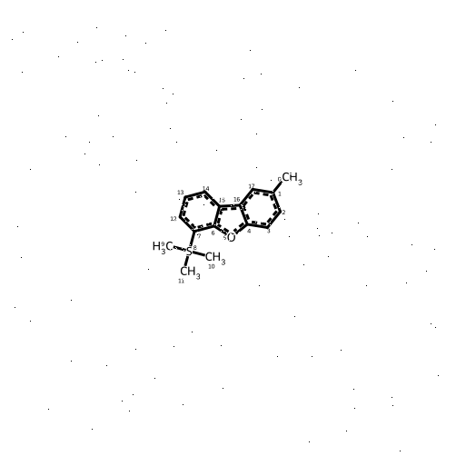 Cc1ccc2oc3c(S(C)(C)C)cccc3c2c1